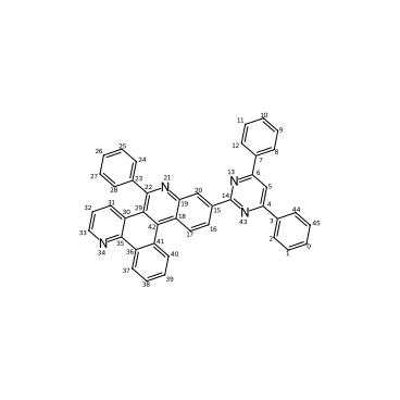 c1ccc(-c2cc(-c3ccccc3)nc(-c3ccc4c(c3)nc(-c3ccccc3)c3c5cccnc5c5ccccc5c43)n2)cc1